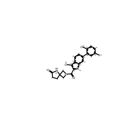 O=C1CCC2(CN(C(=O)c3sc4cc(-c5cc(F)ccc5Cl)ccc4c3Cl)C2)N1